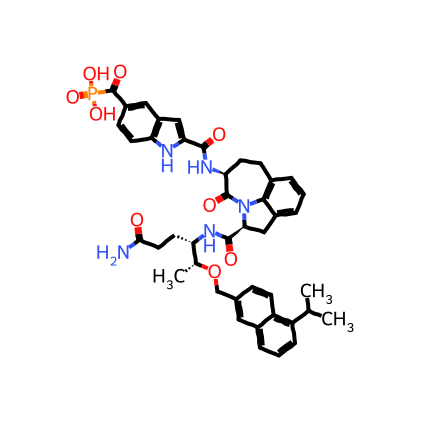 CC(C)c1cccc2cc(CO[C@H](C)[C@H](CCC(N)=O)NC(=O)[C@@H]3Cc4cccc5c4N3C(=O)[C@@H](NC(=O)c3cc4cc(C(=O)P(=O)(O)O)ccc4[nH]3)CC5)ccc12